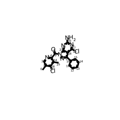 Cc1cnc(C(=O)n2nc(-c3ccccc3)c3c(Cl)nc(N)nc32)c(C)c1Cl